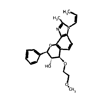 C/C=C\n1c(C)nc2c3c(ccc21)[C@@H](OCCOC)[C@H](O)[C@@H](c1ccccc1)O3